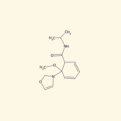 COC1(N2C=COC2)C=CC=CC1C(=O)NC(C)C